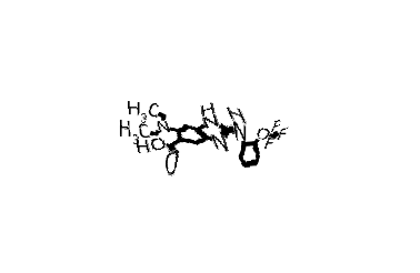 CCN(CC)c1cc2[nH]c(Nc3ccccc3OC(F)(F)F)nc2cc1C(=O)O